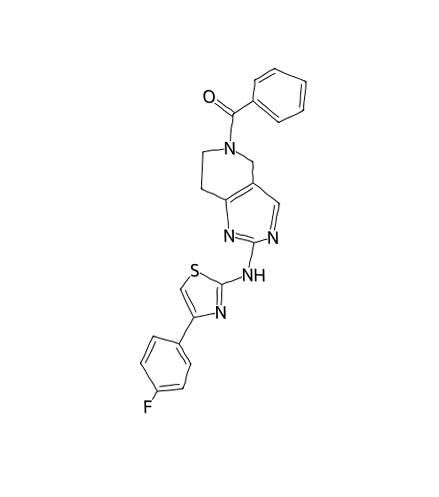 O=C(c1ccccc1)N1CCc2nc(Nc3nc(-c4ccc(F)cc4)cs3)ncc2C1